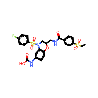 CCS(=O)(=O)c1ccc(C(=O)NCC2CN(S(=O)(=O)c3ccc(F)cc3)c3cc(NC(=O)O)ccc3O2)cc1